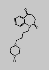 CCN1CCN(CCCCN2C(=O)CCC(=O)c3ccccc32)CC1